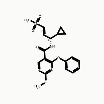 COc1ncc(C(=O)N[C@H](/C=C/S(C)(=O)=O)C2CC2)c(Oc2ccccc2)n1